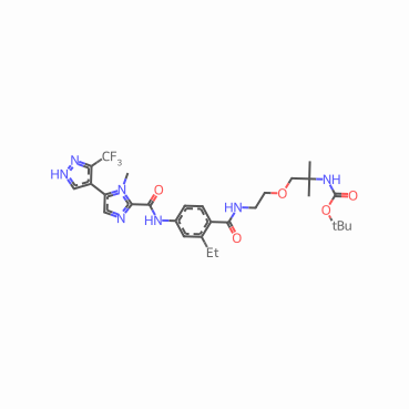 CCc1cc(NC(=O)c2ncc(-c3c[nH]nc3C(F)(F)F)n2C)ccc1C(=O)NCCOCC(C)(C)NC(=O)OC(C)(C)C